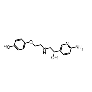 Nc1ccc([C@H](O)CNCCOc2ccc(O)cc2)cn1